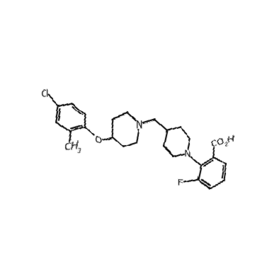 Cc1cc(Cl)ccc1OC1CCN(CC2CCN(c3c(F)cccc3C(=O)O)CC2)CC1